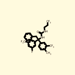 Cc1ccc(C(Cc2ccccc2)(NC(=O)NCCC(F)(F)F)c2cc(F)cc(C(F)(F)F)c2)cc1C(F)(F)F